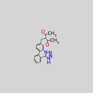 CC(=O)C(Cc1ccc(-c2ccccc2-c2nnn[nH]2)cc1)C(C)=O